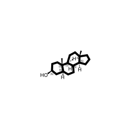 C[C@@]12CCC[C@H]1[C@@H]1CC[C@H]3C[C@@H](O)CC[C@]3(C)[C@H]1CC2